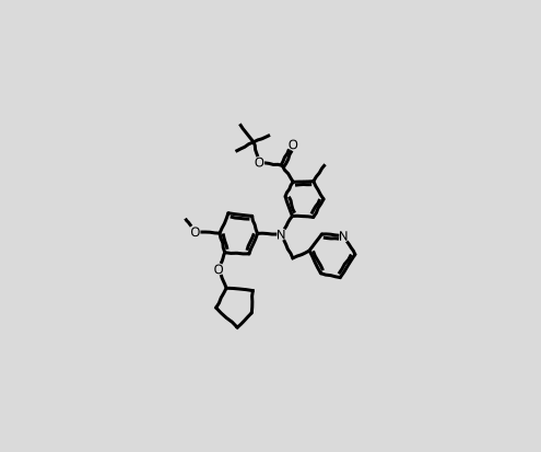 COc1ccc(N(Cc2cccnc2)c2ccc(C)c(C(=O)OC(C)(C)C)c2)cc1OC1CCCC1